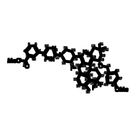 COC(=O)c1cccc(-c2cnc(N3CCC(c4nc5c(c(C6CCC(F)(F)CC6)c4[C@@H](F)c4ccc(C)cc4)[C@@H](OCc4ccc(OC)cc4)CC(C)(C)C5)CC3)nc2)c1